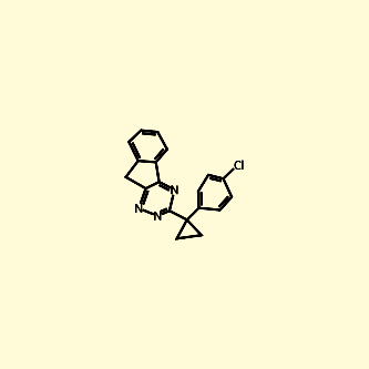 Clc1ccc(C2(c3nnc4c(n3)-c3ccccc3C4)CC2)cc1